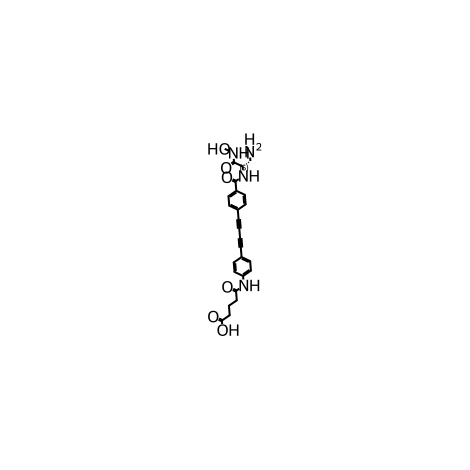 NC[C@H](NC(=O)c1ccc(C#CC#Cc2ccc(NC(=O)CCCC(=O)O)cc2)cc1)C(=O)NO